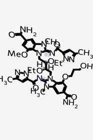 CCn1nc(C)cc1C(=O)/N=c1\n(C)c2cc(C(N)=O)cc(OC)c2n1C[C@@H](O)[C@H](O)Cn1/c(=N/C(=O)c2cc(C)nn2CC)n(C)c2cc(C(N)=O)cc(OCCCO)c21